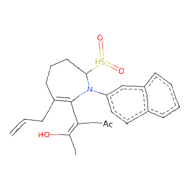 C=CCC1=C(C(C(C)=O)=C(C)O)N(c2ccc3ccccc3c2)C([SH](=O)=O)CCC1